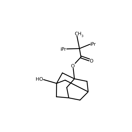 CC(C)C(C)(C(=O)OC12CC3CC(CC(O)(C3)C1)C2)C(C)C